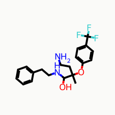 CC(CCN)(Oc1ccc(C(F)(F)F)cc1)C(O)NCCc1ccccc1